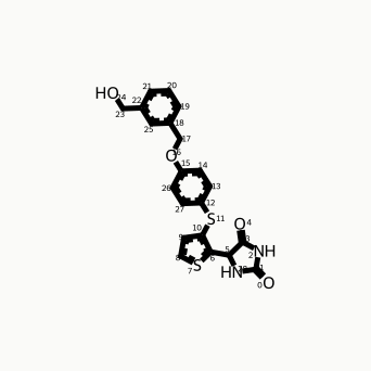 O=C1NC(=O)C(c2sccc2Sc2ccc(OCc3cccc(CO)c3)cc2)N1